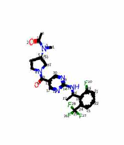 CC(=O)N(C)[C@H]1CCN(C(=O)c2cnc(NC(C)c3c(F)cccc3C(F)(F)F)nc2)C1